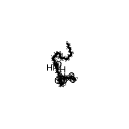 CCC=CC/C=C\C/C=C\C/C=C\C/C=C\C/C=C\CCC(=O)NCCCCC(NC(=O)/C=C/C(=O)OC)C(=O)OC(C)(C)C